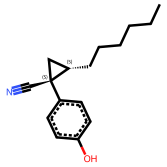 CCCCCC[C@H]1C[C@@]1(C#N)c1ccc(O)cc1